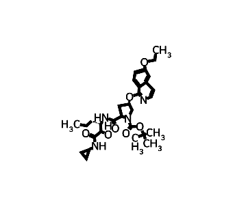 CCC[C@H](NC(=O)C1C[C@@H](Oc2nccc3cc(OCC)ccc23)CN1C(=O)OC(C)(C)C)C(O)C(=O)NC1CC1